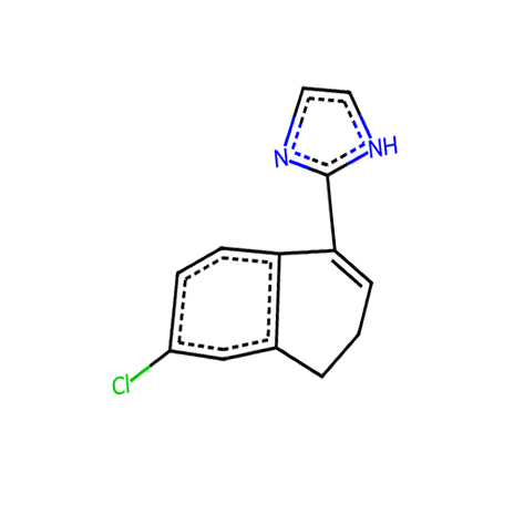 Clc1ccc2c(c1)CCC=C2c1ncc[nH]1